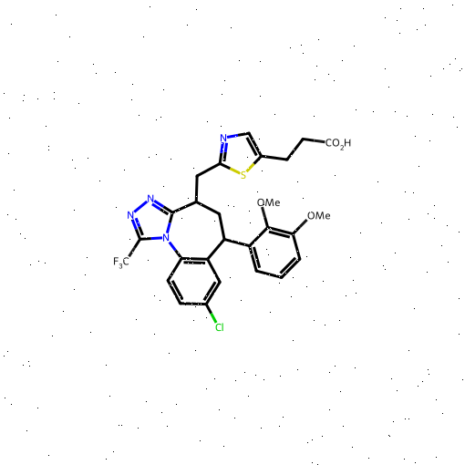 COc1cccc(C2CC(Cc3ncc(CCC(=O)O)s3)c3nnc(C(F)(F)F)n3-c3ccc(Cl)cc32)c1OC